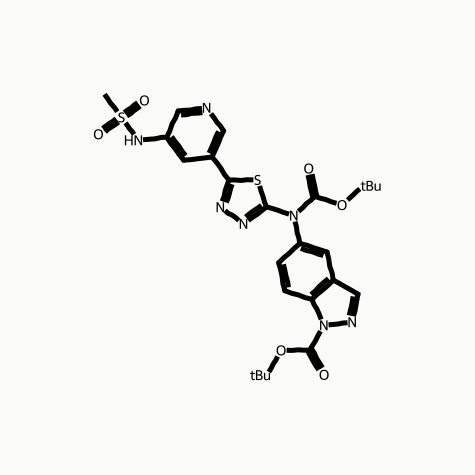 CC(C)(C)OC(=O)N(c1ccc2c(cnn2C(=O)OC(C)(C)C)c1)c1nnc(-c2cncc(NS(C)(=O)=O)c2)s1